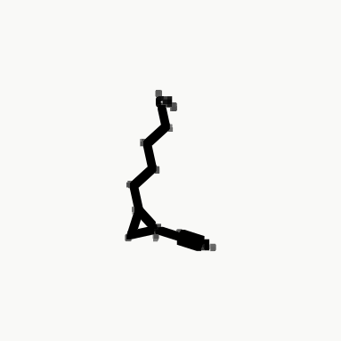 CCCCCC1CN1C#N